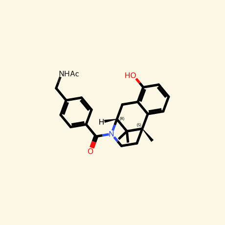 CC(=O)NCc1ccc(C(=O)N2CC[C@@]3(C)c4cccc(O)c4C[C@@H]2C3(C)C)cc1